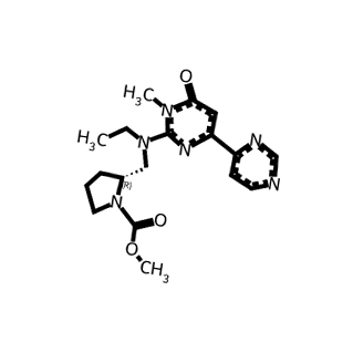 CCN(C[C@H]1CCCN1C(=O)OC)c1nc(-c2ccncn2)cc(=O)n1C